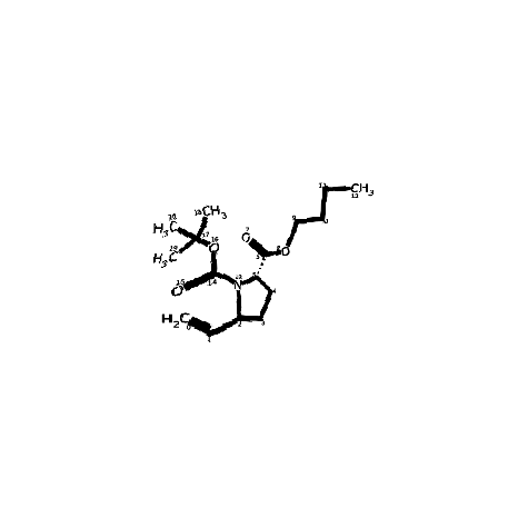 C=CC1CC[C@@H](C(=O)OCCCC)N1C(=O)OC(C)(C)C